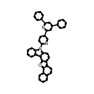 c1ccc(-c2cc(-c3ccccc3)nc(-c3ccc(-n4c5ccccc5c5c6oc7c8ccccc8ccc7c6ccc54)nc3)c2)cc1